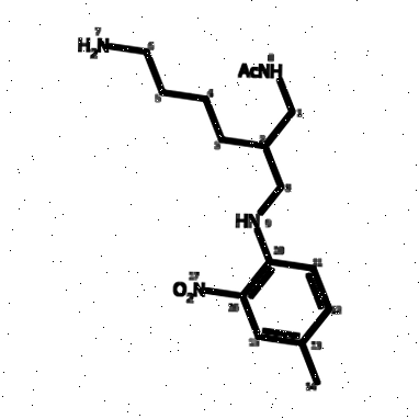 CC(=O)NCC(CCCCN)CNc1ccc(C)cc1[N+](=O)[O-]